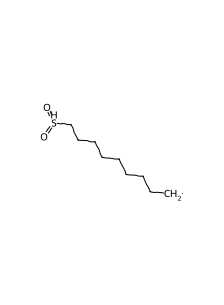 [CH2]CCCCCCCC[SH](=O)=O